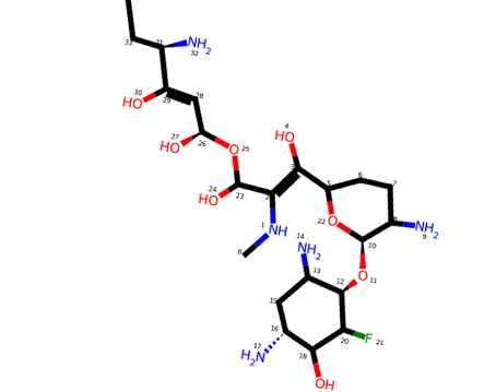 CN/C(=C(/O)C1CCC(N)[C@@H](O[C@@H]2C(N)C[C@@H](N)C(O)C2F)O1)C(O)O[C@@H](O)/C=C(\O)[C@H](N)CCO